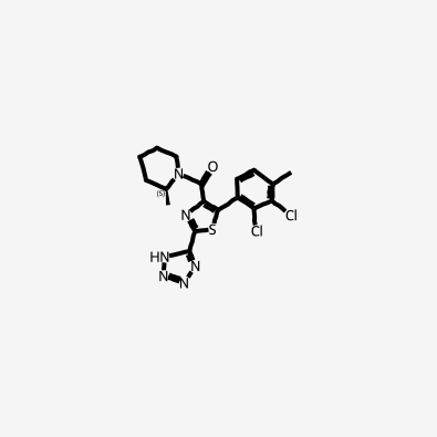 Cc1ccc(-c2sc(-c3nnn[nH]3)nc2C(=O)N2CCCC[C@@H]2C)c(Cl)c1Cl